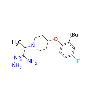 C=C(/C(N)=N/N)N1CCC(Oc2ccc(F)cc2C(C)(C)C)CC1